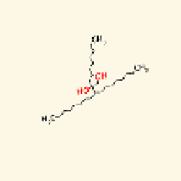 CCCCCCCC[C](CCCCCCCC)C(O)(CO)CCCCCCCC